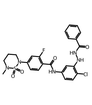 CN1CCCN(c2ccc(C(=O)Nc3ccc(Cl)c(NNC(=O)c4ccccc4)c3)c(F)c2)S1(=O)=O